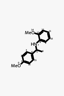 COc1ccc(C(C)Nc2ccccc2OC)cc1